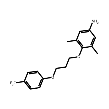 Cc1cc(N)cc(C)c1OCCCOc1ccc(C(F)(F)F)cc1